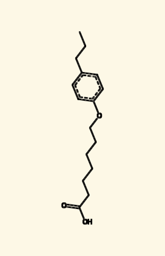 CCCc1ccc(OCCCCCCC(=O)O)cc1